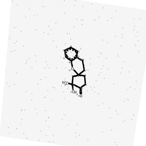 CC1(C)CC2(CCC1=O)CCc1ccccc1O2